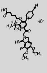 Br.CCOc1cc2c(c(F)c1OCC)C(=N)N(CC(=O)c1cc(N3CCC(C#N)CC3)c(OCCCCC(=O)O)c(C(C)(C)C)c1)C2